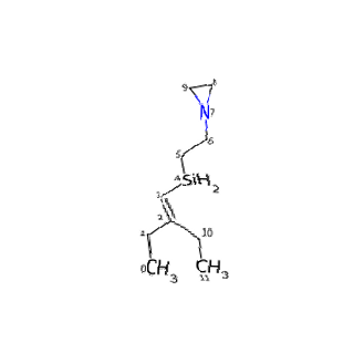 CCC(=C[SiH2]CCN1CC1)CC